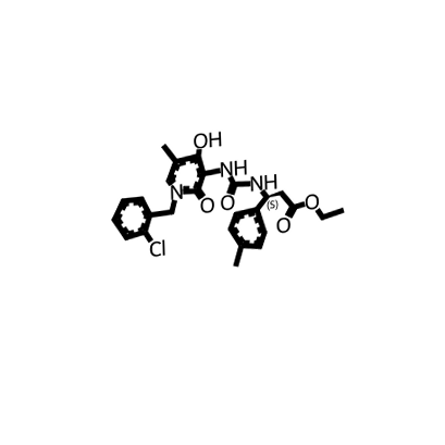 CCOC(=O)C[C@H](NC(=O)Nc1c(O)c(C)cn(Cc2ccccc2Cl)c1=O)c1ccc(C)cc1